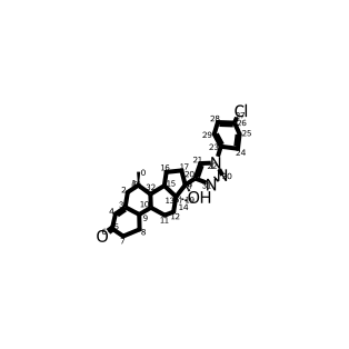 C[C@@H]1CC2=CC(=O)CCC2C2CC[C@@]3(C)C(CC[C@@]3(O)c3cn(-c4ccc(Cl)cc4)nn3)C21